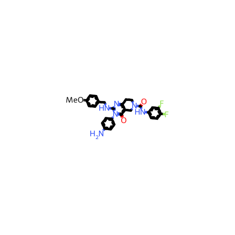 COc1ccc(CNc2nc3c(c(=O)n2-c2ccc(N)cc2)CN(C(=O)Nc2ccc(F)c(F)c2)CC3)cc1